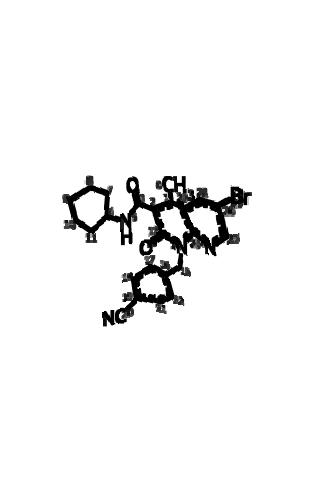 Cc1c(C(=O)NC2CCCCC2)c(=O)n(Cc2ccc(C#N)cc2)c2ncc(Br)cc12